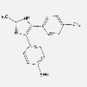 CSc1ccc(-c2nc(C(F)(F)F)[nH]c2-c2ccc(C)cc2)cc1